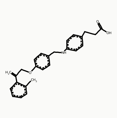 C=C(COc1ccc(CNc2ccc(CCC(=O)O)cc2)cc1)c1ccccc1C